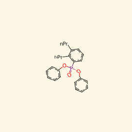 CCCc1cccc(P(=O)(Oc2ccccc2)Oc2ccccc2)c1CCC